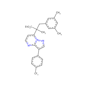 CCOC(=O)C(C)(Cc1cc(C)cc(C)c1)c1ccnc2c(-c3ccc(C(F)(F)F)cc3)cnn12